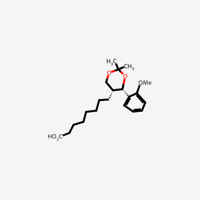 COc1ccccc1[C@H]1OC(C)(C)OC[C@H]1CCCCCCCC(=O)O